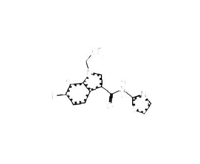 O=C(Nc1nccs1)c1cn(CC(F)(F)F)c2cc(F)ccc12